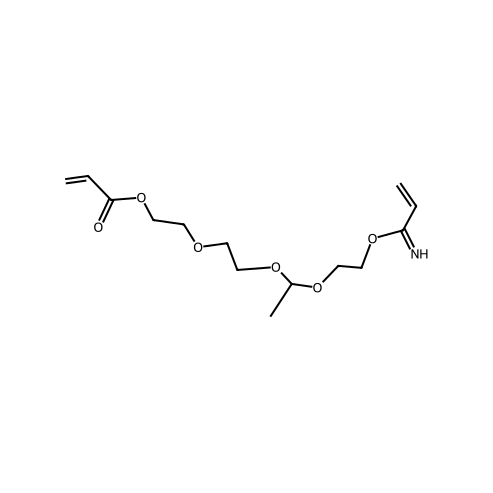 C=CC(=N)OCCOC(C)OCCOCCOC(=O)C=C